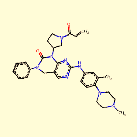 C=CC(=O)N1CCC(N2C(=O)N(c3ccccc3)Cc3cnc(Nc4ccc(N5CCN(C)CC5)c(C)c4)nc32)C1